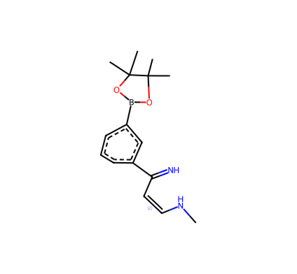 CN/C=C\C(=N)c1cccc(B2OC(C)(C)C(C)(C)O2)c1